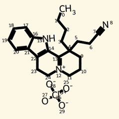 CCCCC1(CCC#N)CCC[N+]2=C1c1[nH]c3ccccc3c1CC2.[O-][Cl+3]([O-])([O-])[O-]